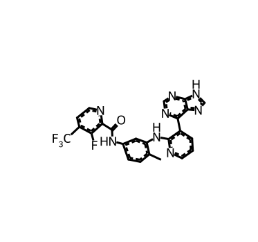 Cc1ccc(NC(=O)c2nccc(C(F)(F)F)c2F)cc1Nc1ncccc1-c1ncnc2[nH]cnc12